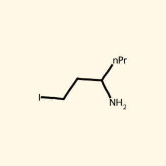 CCCC(N)CCI